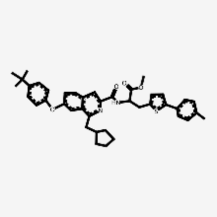 COC(=O)C(Cc1ccc(-c2ccc(C)cc2)s1)NC(=O)c1cc2ccc(Oc3ccc(C(C)(C)C)cc3)cc2c(CC2CCCC2)n1